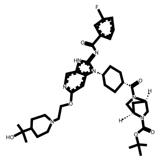 CC(C)(C)OC(=O)N1C[C@H]2C[C@@H]1CN2C(=O)[C@H]1CC[C@@H](n2/c(=N/C(=O)c3cccc(F)c3)[nH]c3cnc(OCCN4CCC(C(C)(C)O)CC4)cc32)CC1